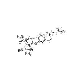 CC(C)N(CCN1CCc2cc(Oc3ccc(C(N)=O)c(CC(N)(C(C)C)C(C)C)n3)ccc2C1)C(C)C